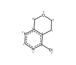 CCc1ncnc2c1CCOC2